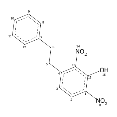 O=[N+]([O-])c1ccc(CCc2ccccc2)c([N+](=O)[O-])c1O